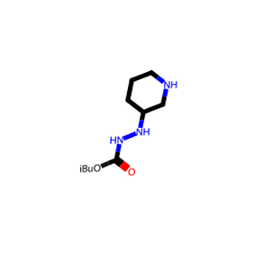 CC(C)COC(=O)NNC1CCCNC1